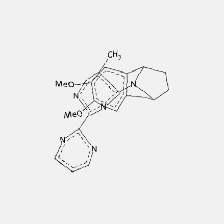 COc1cc2c(cc1OC)C1CCC2N1c1nc(-c2ncccn2)ncc1C